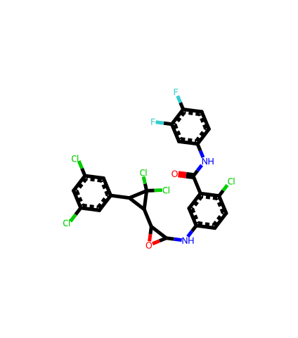 O=C(Nc1ccc(F)c(F)c1)c1cc(NC2OC2C2C(c3cc(Cl)cc(Cl)c3)C2(Cl)Cl)ccc1Cl